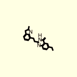 C=C1NC(CCc2cccc3c2N=C(C)C3)=Nc2ccc(CC)cc21